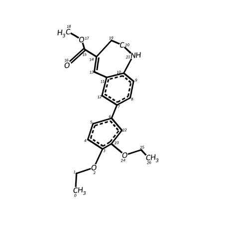 CCOc1ccc(-c2ccc3c(c2)C=C(C(=O)OC)CCN3)cc1OCC